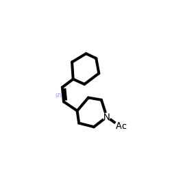 CC(=O)N1CCC(/C=C\C2CCCCC2)CC1